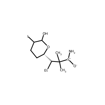 CCC([C@@H]1CCC(I)C(O)O1)C(C)(C)[S+](N)[O-]